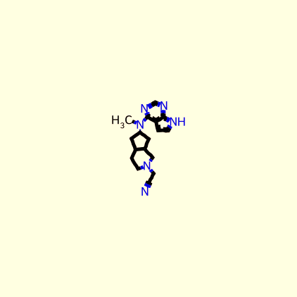 CN(c1ncnc2[nH]ccc12)[C@H]1CC2CCN(CC#N)CC2C1